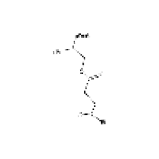 CCCCCC(CCC)COC(=O)CCC(CC)CC